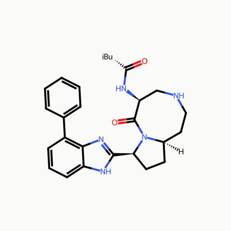 CC[C@@H](C)C(=O)N[C@H]1CNCC[C@H]2CC[C@@H](c3nc4c(-c5ccccc5)cccc4[nH]3)N2C1=O